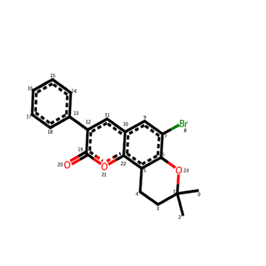 CC1(C)CCc2c(c(Br)cc3cc(-c4ccccc4)c(=O)oc23)O1